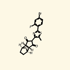 Cc1sc(-c2ccc(Br)cc2F)nc1C1C(=O)[C@@H]2[C@H](C1=O)[C@H]1CC[C@@H]2O1